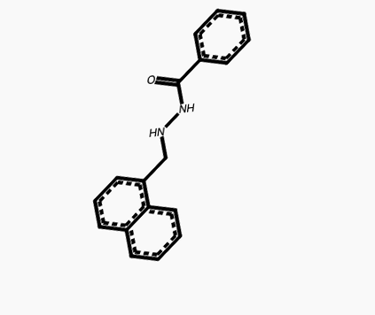 O=C(NNCc1cccc2ccccc12)c1ccccc1